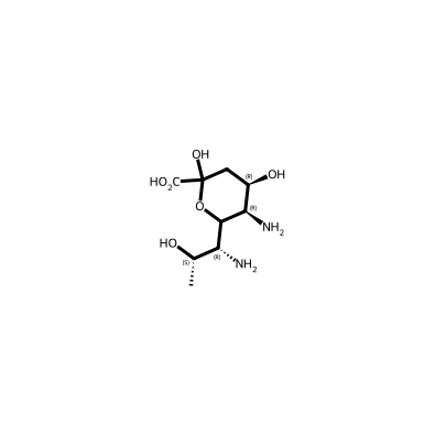 C[C@H](O)[C@@H](N)C1OC(O)(C(=O)O)C[C@@H](O)[C@H]1N